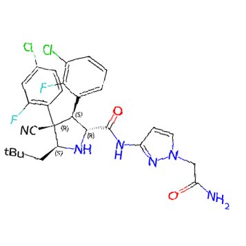 CC(C)(C)C[C@@H]1N[C@@H](C(=O)Nc2ccn(CC(N)=O)n2)[C@H](c2cccc(Cl)c2F)[C@@]1(C#N)c1ccc(Cl)cc1F